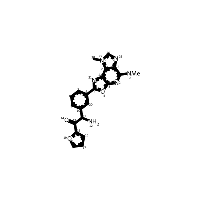 CNc1nc2oc(-c3cccc(C(N)C(=O)c4ccco4)c3)nc2c2c1ncn2C